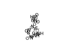 CC1(C)Cc2[nH]nc(C(=O)Nc3cnn([C@H](c4ccccc4)C4CN(C(=O)N5CC6(CCN(c7ccc8c(c7)C(=O)N(C7CCC(=O)NC7=O)C8=O)CC6)C5)C4)c3)c2CC1(F)F